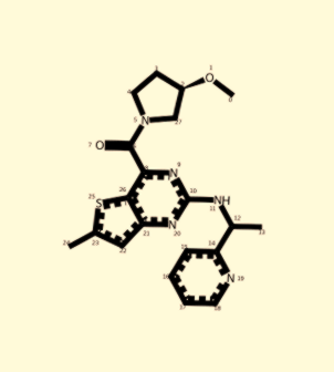 CO[C@@H]1CCN(C(=O)c2nc(NC(C)c3ccccn3)nc3cc(C)sc23)C1